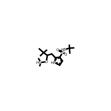 C[SiH](C)OC(Cc1[nH]ccc1S(=O)(=O)NC(C)(C)C)C(C)(C)C